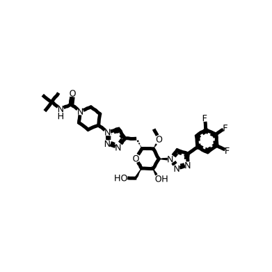 CO[C@@H]1[C@@H](n2cc(-c3cc(F)c(F)c(F)c3)nn2)[C@@H](O)[C@@H](CO)O[C@@H]1Cc1cn(C2CCN(C(=O)NC(C)(C)C)CC2)nn1